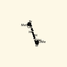 COc1cc(Br)cc(CN=CCCNCCNCCC=NCc2cc(Br)cc(OC)c2O)c1O